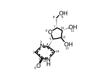 O=c1cnc([C@@H]2O[C@H](CO)[C@H](O)C2O)c[nH]1